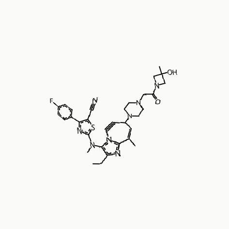 CCc1nc2n(c1N(C)c1nc(-c3ccc(F)cc3)c(C#N)s1)C#CC(N1CCN(CC(=O)N3CC(C)(O)C3)CC1)C=C2C